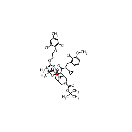 COc1cccc(CN(C(=O)C2=C(c3cnc(OCCOc4c(Cl)cc(C)cc4Cl)s3)CC3CN(C(=O)OC(C)(C)C)CC2N3C(=O)OC(C)(C)C)C2CC2)c1Cl